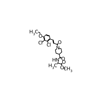 CCOc1ccc(C=CC(=O)N2CCC(C(=O)NC(C)C(=O)OC)CC2)c(Cl)c1Cl